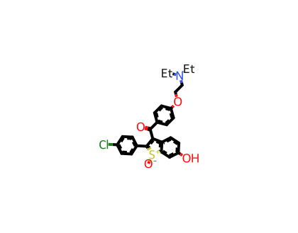 CCN(CC)CCOc1ccc(C(=O)c2c(-c3ccc(Cl)cc3)[s+]([O-])c3cc(O)ccc23)cc1